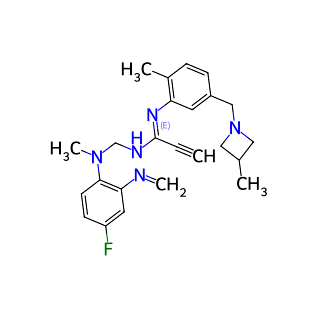 C#C/C(=N\c1cc(CN2CC(C)C2)ccc1C)NCN(C)c1ccc(F)cc1N=C